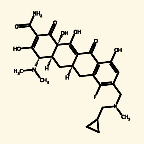 CN(Cc1cc(O)c2c(c1F)C[C@H]1C[C@H]3[C@H](N(C)C)C(O)=C(C(N)=O)C(=O)[C@@]3(O)C(O)=C1C2=O)CC1CC1